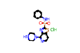 Cl.O=S(=O)(Nc1ccccc1)c1nc2c(N3CCNCC3)nccc2s1